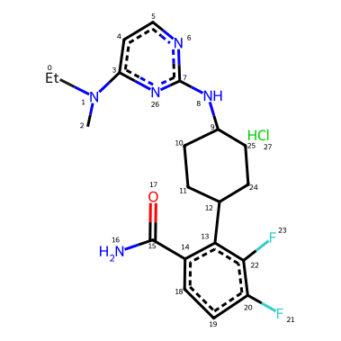 CCN(C)c1ccnc(NC2CCC(c3c(C(N)=O)ccc(F)c3F)CC2)n1.Cl